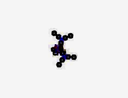 CC12CCC(c3nc4c(-c5ccc(N(c6ccc(-c7ccccc7)cc6)c6ccc(-c7ccccc7)cc6)cc5)sc(-c5ccc(N(c6ccc(-c7ccccc7)cc6)c6ccc(-c7ccccc7)cc6)cc5)c4nc31)C2(C)C